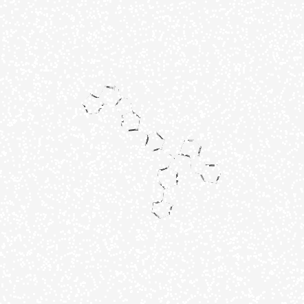 c1ccc(-c2ccc(N(c3ccc(-c4ccc5c(c4)oc4ncc6ccccc6c45)cc3)c3cccc4c3sc3ccccc34)cc2)cc1